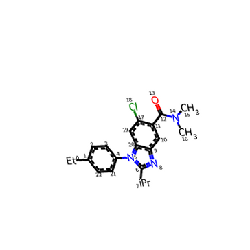 [CH2]Cc1ccc(-n2c(C(C)C)nc3cc(C(=O)N(C)C)c(Cl)cc32)cc1